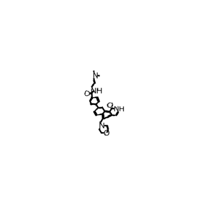 CN(C)CCCNC(=O)c1ccc(-c2ccc3c(CN4CCOCC4)cc4cc[nH]c(=O)c4c3c2)cc1